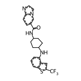 O=C(NC1CCC(Nc2cccc3sc(C(F)(F)F)cc23)CC1)c1ccc2nccn2c1